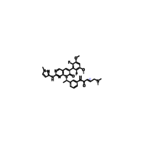 COc1cc(OC)c(F)c(-c2cc3cnc(Nc4ccn(C)n4)nc3n(C(C)c3cccc(NC(=O)/C=C/CN(C)C)c3)c2=O)c1F